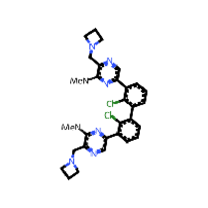 CNc1nc(-c2cccc(-c3cccc(-c4cnc(CN5CCC5)c(NC)n4)c3Cl)c2Cl)cnc1CN1CCC1